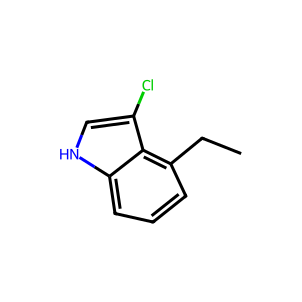 CCc1cccc2[nH]cc(Cl)c12